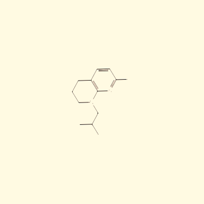 C[C](C)CN1CCCc2ccc(Cl)nc21